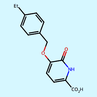 CCc1ccc(COc2ccc(C(=O)O)[nH]c2=O)cc1